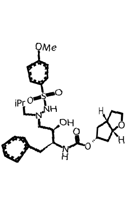 COc1ccc(S(=O)(=O)NN(CC(C)C)C[C@@H](O)[C@H](Cc2ccccc2)NC(=O)O[C@@H]2C[C@@H]3CCO[C@@H]3C2)cc1